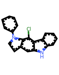 Clc1c2c(cc3ccn(-c4ccccc4)c13)[nH]c1ccccc12